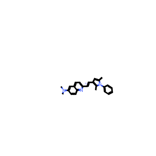 Cc1cc(/C=C/c2ccc3cc(N(C)C)ccc3n2)c(C)n1-c1ccccc1